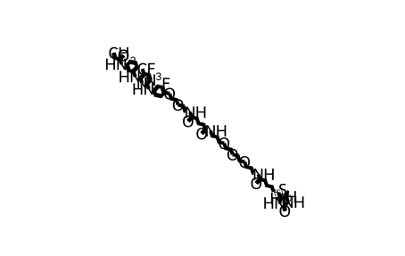 C=CC(=O)Nc1cccc(Nc2nc(Nc3ccc(OCCOCCNC(=O)CCCC(=O)NCCCOCCOCCOCCCNC(=O)CCCC[C@@H]4SC[C@@H]5NC(=O)N[C@@H]54)c(F)c3)ncc2C(F)(F)F)c1